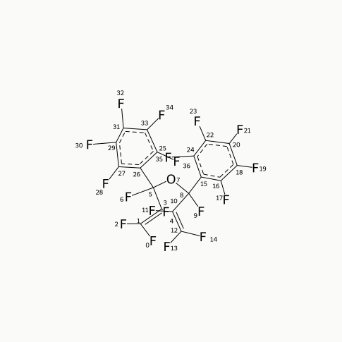 FC(F)=C(F)C(F)(OC(F)(C(F)=C(F)F)c1c(F)c(F)c(F)c(F)c1F)c1c(F)c(F)c(F)c(F)c1F